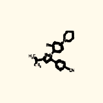 C=C(C)c1cc(-c2ccc(C#N)cc2)n(-c2ccc(N3CCCCC3)cc2F)n1